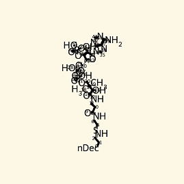 CCCCCCCCCCCCNSCCNC(=O)CCNC(=O)[C@H](O)C(C)(C)COP(=O)(O)OP(=O)(O)OC[C@H]1O[C@@H](n2cnc3c(N)ncnc32)[C@H](O)[C@@H]1OP(=O)(O)O